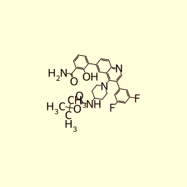 CC(C)(C)OC(=O)NC1CCN(c2c(-c3cc(F)cc(F)c3)cnc3ccc(-c4cccc(C(N)=O)c4O)cc23)CC1